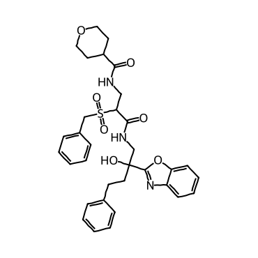 O=C(NCC(C(=O)NCC(O)(CCc1ccccc1)c1nc2ccccc2o1)S(=O)(=O)Cc1ccccc1)C1CCOCC1